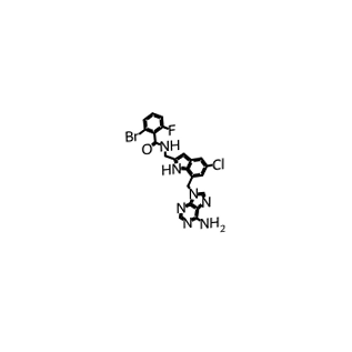 Nc1ncnc2c1ncn2Cc1cc(Cl)cc2cc(CNC(=O)c3c(F)cccc3Br)[nH]c12